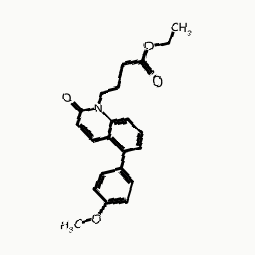 CCOC(=O)CCCn1c(=O)ccc2c(-c3ccc(OC)cc3)cccc21